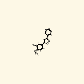 Fc1cc(-c2cc(-c3cccnc3)no2)ccc1OC(F)(F)F